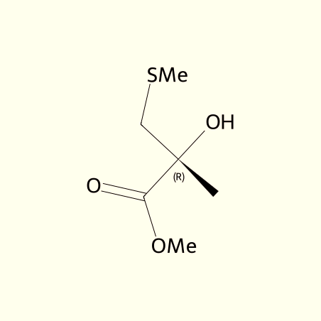 COC(=O)[C@@](C)(O)CSC